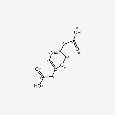 O=C(O)CC1=CN=C(CC(=O)O)CO1